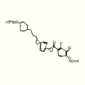 CCCCCCCCCCOc1ccc(C(=O)Oc2ccc(OCCCC3CCC(CCCCC)CC3)cc2)c(F)c1F